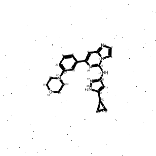 c1cc(-c2cc3nccn3c(Nc3cc(C4CC4)[nH]n3)n2)cc(N2CCOCC2)c1